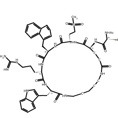 CCCC[C@@H](NC(C)=O)C(=O)N[C@H]1CCC(=O)NCCCCCNC(=O)[C@H](Cc2c[nH]c3ccccc23)NC(=O)[C@H](CCCNC(=N)N)NC(=O)[C@@H](Cc2cccc3ccccc23)NC(=O)[C@H](CCS(C)(=O)=O)NC1=O